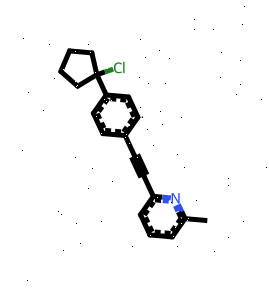 Cc1cccc(C#Cc2[c]cc(C3(Cl)CCCC3)cc2)n1